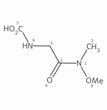 CON(C)C(=O)CNC(=O)O